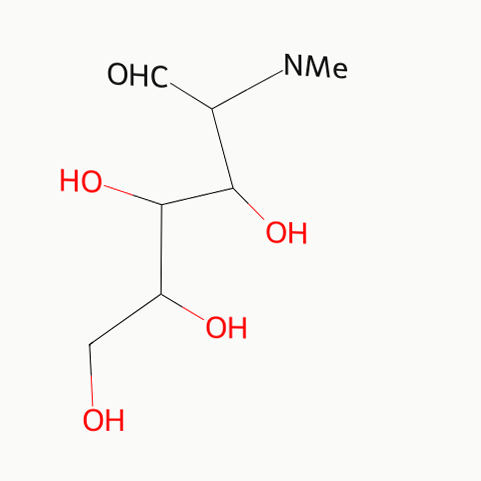 CNC(C=O)C(O)C(O)C(O)CO